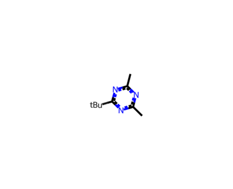 Cc1nc(C)nc(C(C)(C)C)n1